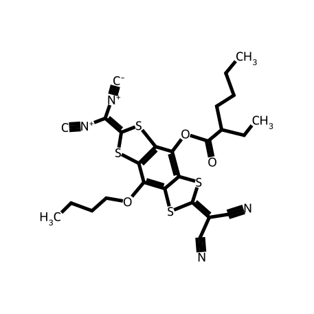 [C-]#[N+]C([N+]#[C-])=C1Sc2c(OCCCC)c3c(c(OC(=O)C(CC)CCCC)c2S1)SC(=C(C#N)C#N)S3